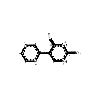 O=c1[nH]cc(-c2cnccn2)c(=O)[nH]1